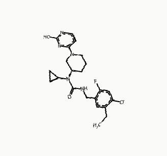 CCc1cc(CNC(=O)N(C2CC2)[C@@H]2CCCN(c3ccnc(O)n3)C2)c(F)cc1Cl